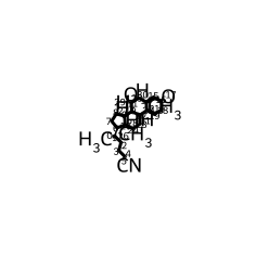 CC(CCCC#N)[C@H]1CC[C@H]2[C@@H]3[C@@H]4O[C@@H]4C4=CC(=O)CC[C@]4(C)[C@H]3CC[C@]12C